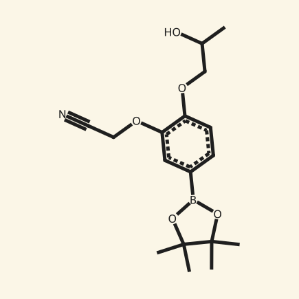 CC(O)COc1ccc(B2OC(C)(C)C(C)(C)O2)cc1OCC#N